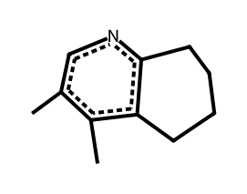 Cc1cnc2c(c1C)CCCC2